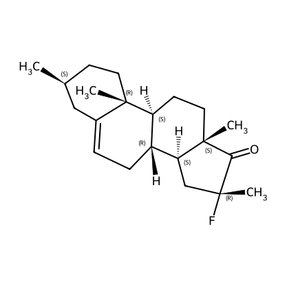 C[C@H]1CC[C@@]2(C)C(=CC[C@@H]3[C@@H]2CC[C@]2(C)C(=O)[C@](C)(F)C[C@@H]32)C1